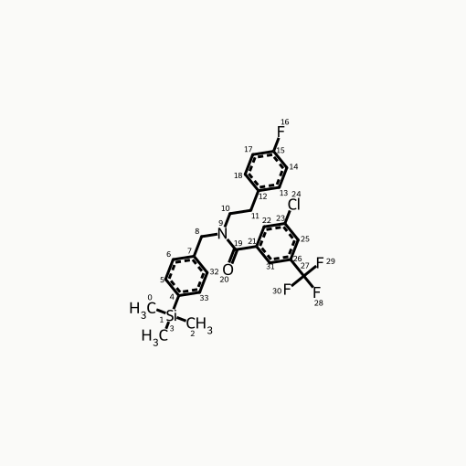 C[Si](C)(C)c1ccc(CN(CCc2ccc(F)cc2)C(=O)c2cc(Cl)cc(C(F)(F)F)c2)cc1